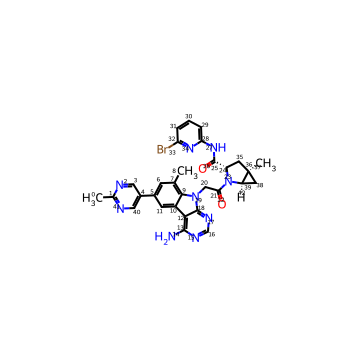 Cc1ncc(-c2cc(C)c3c(c2)c2c(N)ncnc2n3CC(=O)N2[C@H](C(=O)Nc3cccc(Br)n3)C[C@@]3(C)C[C@@H]23)cn1